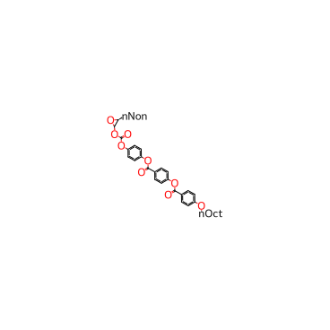 CCCCCCCCC[C@@H]1O[C@@H]1OC(=O)Oc1ccc(OC(=O)c2ccc(OC(=O)c3ccc(OCCCCCCCC)cc3)cc2)cc1